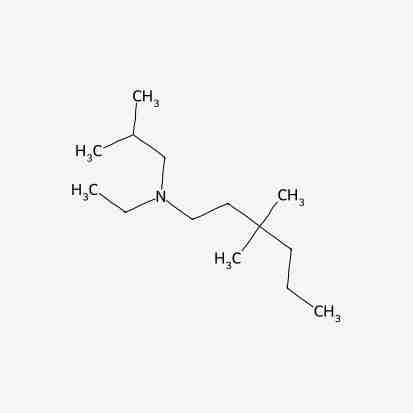 CCCC(C)(C)CCN(CC)CC(C)C